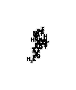 C=CC(=O)N1CCC(F)C(Oc2nc(Nc3cnn(CC(F)F)c3)nc3[nH]cc(F)c23)C1